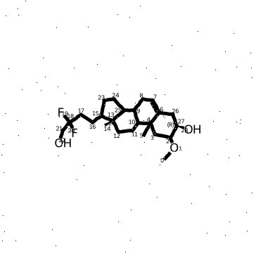 COC1CC2(C)C(=CCC3C2CC[C@]2(C)C(CCC(F)(F)CO)CCC32)C[C@H]1O